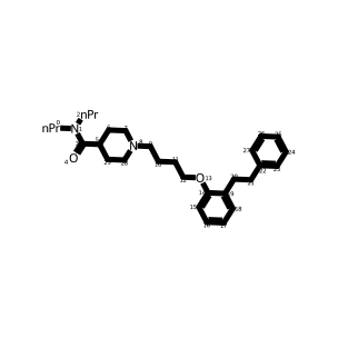 CCCN(CCC)C(=O)C1CCN(CCCCOc2ccccc2CCc2ccccc2)CC1